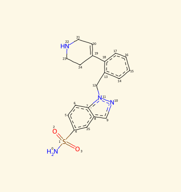 NS(=O)(=O)c1ccc2c(cnn2Cc2ccccc2C2=CCNCC2)c1